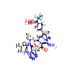 CC(=O)c1c(CC[C@@H](C)N(C(=O)c2nnc[nH]2)C(C)C)nc2c(-c3ccc([C@@H](O)C(F)(F)F)nc3)cnn2c1N